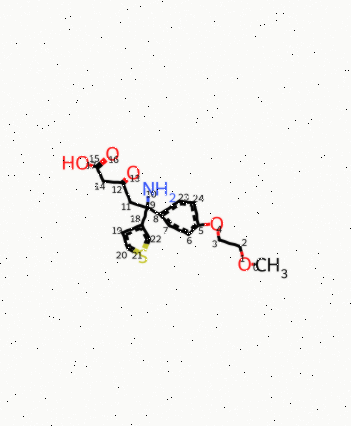 COCCOc1ccc(C(N)(CC(=O)CC(=O)O)c2ccsc2)cc1